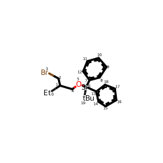 CCC(CBr)CO[Si](c1ccccc1)(c1ccccc1)C(C)(C)C